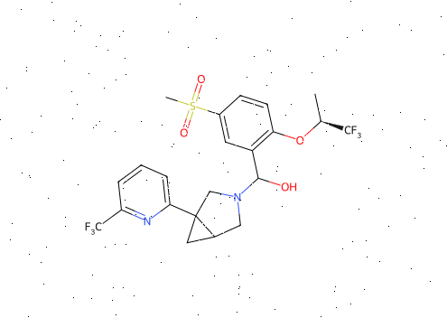 C[C@H](Oc1ccc(S(C)(=O)=O)cc1C(O)N1CC2CC2(c2cccc(C(F)(F)F)n2)C1)C(F)(F)F